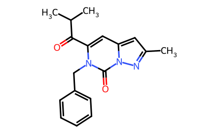 Cc1cc2cc(C(=O)C(C)C)n(Cc3ccccc3)c(=O)n2n1